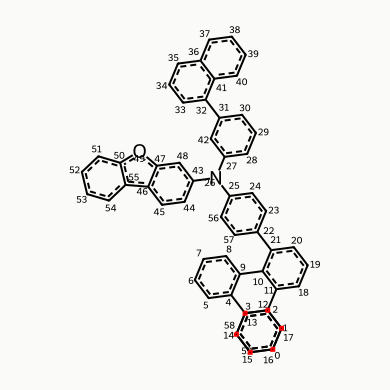 c1ccc(-c2ccccc2-c2c(-c3ccccc3)cccc2-c2ccc(N(c3cccc(-c4cccc5ccccc45)c3)c3ccc4c(c3)oc3ccccc34)cc2)cc1